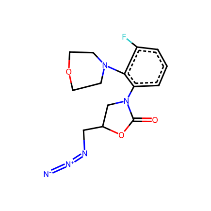 [N-]=[N+]=NCC1CN(c2cccc(F)c2N2CCOCC2)C(=O)O1